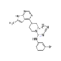 Cc1cc2c(N3CCN(/C(=N\C#N)Nc4cccc(Br)c4)[C@@H](C)C3)ncnc2[nH]1